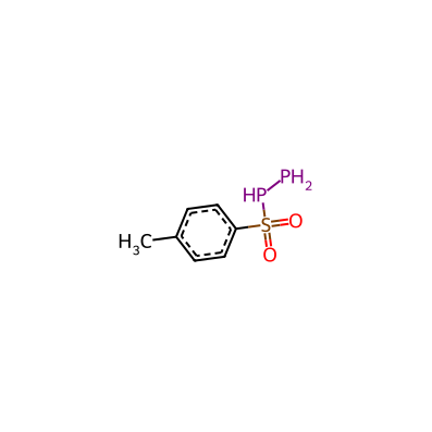 Cc1ccc(S(=O)(=O)PP)cc1